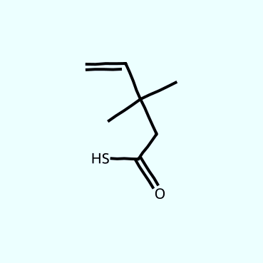 C=CC(C)(C)CC(=O)S